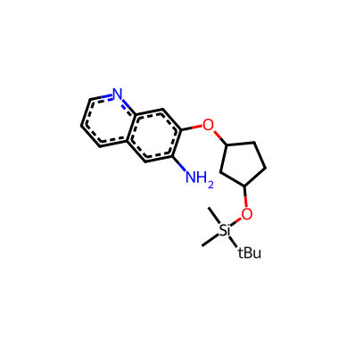 CC(C)(C)[Si](C)(C)OC1CCC(Oc2cc3ncccc3cc2N)C1